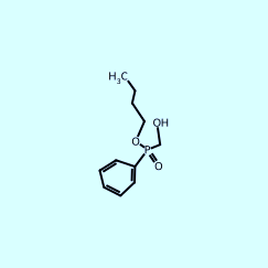 CCCCOP(=O)(CO)c1ccccc1